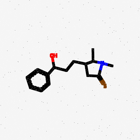 CC1C(CCC(O)c2ccccc2)CC(=S)N1C